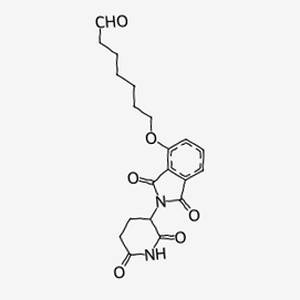 O=CCCCCCCOc1cccc2c1C(=O)N(C1CCC(=O)NC1=O)C2=O